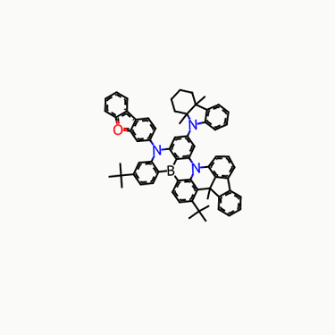 CC(C)(C)c1ccc2c(c1)N(c1ccc3c(c1)oc1ccccc13)c1cc(N3c4ccccc4C4(C)CCCCC34C)cc3c1B2c1ccc(C(C)(C)C)c2c1N3c1cccc3c1C2(C)c1ccccc1-3